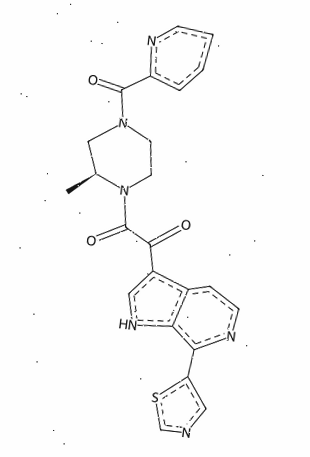 C[C@H]1CN(C(=O)c2ccccn2)CCN1C(=O)C(=O)c1c[nH]c2c(-c3cncs3)nccc12